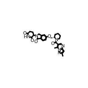 Cc1cc2ncc(C(=O)N3CCCC[C@H]3COc3ccc4c(c3)CN(C3CCC(=O)NC3=O)C4=O)c(C)n2n1